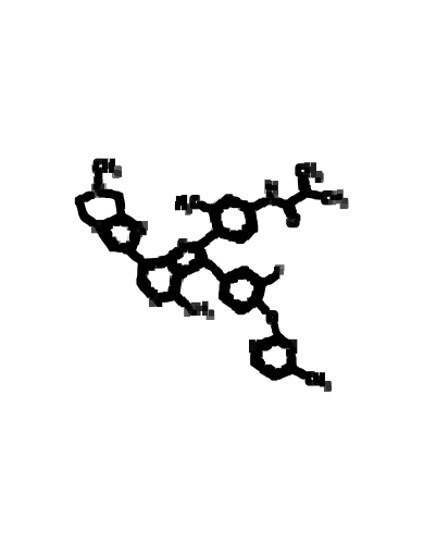 C=C(C)C(=O)Nc1ccc(-c2sc3c(-c4cn5c(n4)CN(C)CC5)cnc(N)c3c2-c2ccc(Oc3nccc(C)n3)c(F)c2)c(C)c1